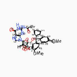 COc1ccc(C(OC[C@]23O[C@@H](n4cnc5c(=O)[nH]c(NC(=O)C(C)C)nc54)[C@@H](O[C@H]2C)C3O)(c2ccccc2)c2ccc(OC)cc2)cc1